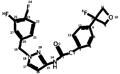 O=C(Cc1ccc(C2(F)COC2)cc1)Nc1ccn(Cc2ccc(F)c(F)c2)n1